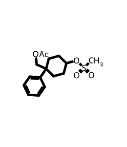 CC(=O)OCC1(c2ccccc2)CCC(OS(C)(=O)=O)CC1